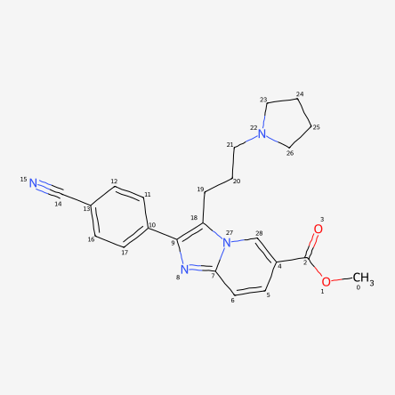 COC(=O)c1ccc2nc(-c3ccc(C#N)cc3)c(CCCN3CCCC3)n2c1